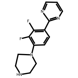 Fc1c(-c2ncccn2)ccc(N2CCNCC2)c1F